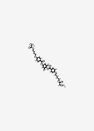 C=CC(=O)OCCCCOc1ccc(C(=O)Oc2cc(F)c(OC(=O)c3ccc(OCCCCOC(=O)C=C)cc3)c(F)c2)cc1